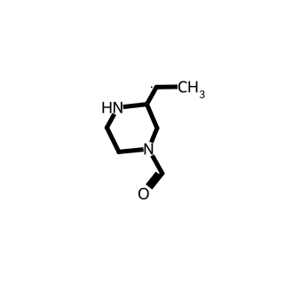 C[CH]C1CN(C=O)CCN1